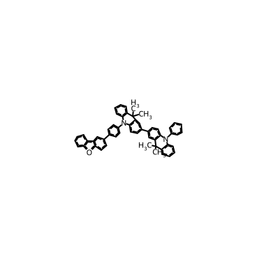 CC1(C)c2ccccc2N(c2ccccc2)c2ccc(-c3ccc4c(c3)C(C)(C)c3ccccc3N4c3ccc(-c4ccc5oc6ccccc6c5c4)cc3)cc21